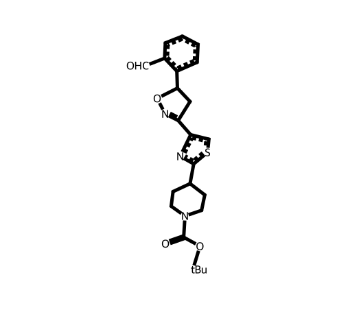 CC(C)(C)OC(=O)N1CCC(c2nc(C3=NOC(c4ccccc4C=O)C3)cs2)CC1